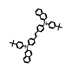 CC(C)(C)c1ccc(N(c2ccc(/C=C/c3ccc(N(c4ccc(C(C)(C)C)cc4)c4ccc5ccccc5c4)cc3)cc2)c2ccc3ccccc3c2)cc1